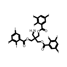 NCC(COC(=O)c1cc(I)cc(I)c1I)(COC(=O)c1cc(I)cc(I)c1I)COC(=O)c1cc(I)cc(I)c1I